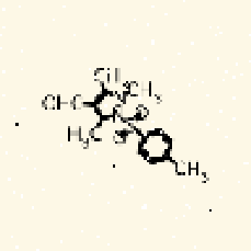 CC1=C(C=O)C(C)N(S(=O)(=O)c2ccc(C)cc2)N1C